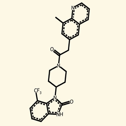 Cc1cc(CC(=O)N2CCC(n3c(=O)[nH]c4cccc(C(F)(F)F)c43)CC2)cc2cccnc12